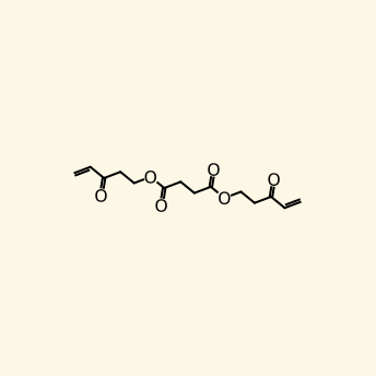 C=CC(=O)CCOC(=O)CCC(=O)OCCC(=O)C=C